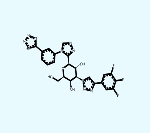 OC[C@H]1O[C@@H](c2nncn2-c2cccc(-c3nnn[nH]3)c2)[C@H](O)[C@@H](n2cc(-c3cc(F)c(F)c(F)c3)nn2)[C@H]1O